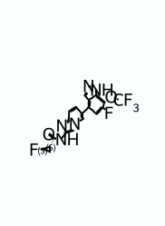 O=C(Nc1cn2cc(-c3cc(F)c(OC(F)(F)F)c4[nH]ncc34)ccc2n1)[C@@H]1C[C@@H]1F